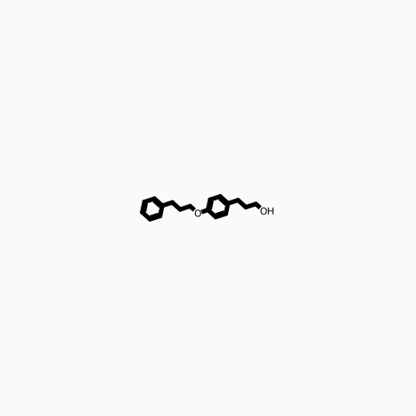 OCCCc1ccc(OCCCc2ccccc2)cc1